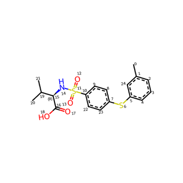 Cc1cccc(Sc2ccc(S(=O)(=O)N[C@@H](C(=O)O)C(C)C)cc2)c1